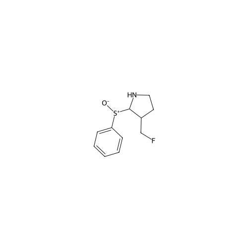 [O-][S+](c1ccccc1)C1NCCC1CF